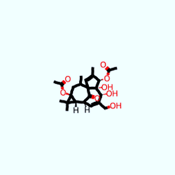 CC(=O)O[C@H]1C(C)=CC23C(=O)[C@@H](C=C(CO)[C@@H](O)[C@]12O)[C@@H]1C(C)(C)[C@]1(OC(C)=O)CC3C